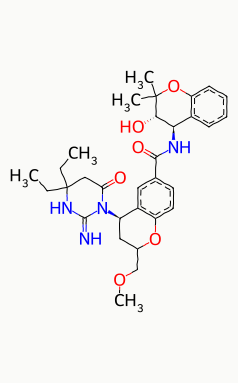 CCC1(CC)CC(=O)N([C@@H]2CC(COC)Oc3ccc(C(=O)N[C@@H]4c5ccccc5OC(C)(C)[C@H]4O)cc32)C(=N)N1